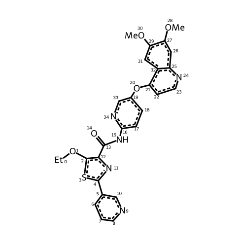 CCOc1sc(-c2cccnc2)nc1C(=O)Nc1ccc(Oc2ccnc3cc(OC)c(OC)cc23)cn1